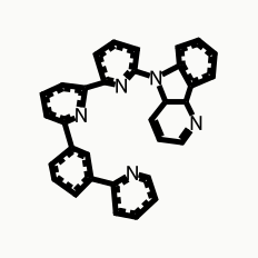 C1=CC2C(N=C1)c1ccccc1N2c1cccc(-c2cccc(-c3cccc(-c4ccccn4)c3)n2)n1